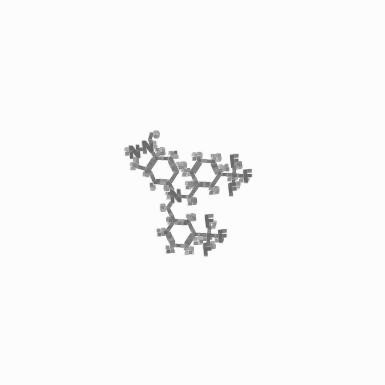 Cn1ncc2cc(N(Cc3cccc(C(F)(F)F)c3)Cc3cccc(C(F)(F)F)c3)ccc21